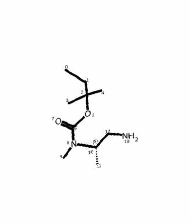 CCC(C)(C)OC(=O)N(C)[C@@H](C)CN